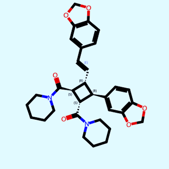 O=C([C@@H]1[C@@H](C(=O)N2CCCCC2)[C@H](/C=C/c2ccc3c(c2)OCO3)[C@H]1c1ccc2c(c1)OCO2)N1CCCCC1